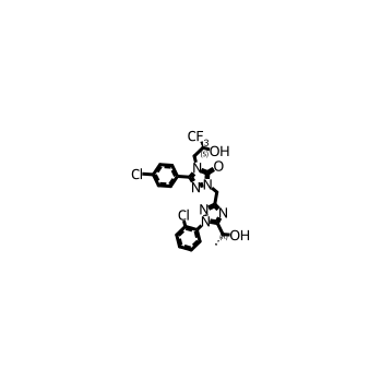 C[C@@H](O)c1nc(Cn2nc(-c3ccc(Cl)cc3)n(C[C@H](O)C(F)(F)F)c2=O)nn1-c1ccccc1Cl